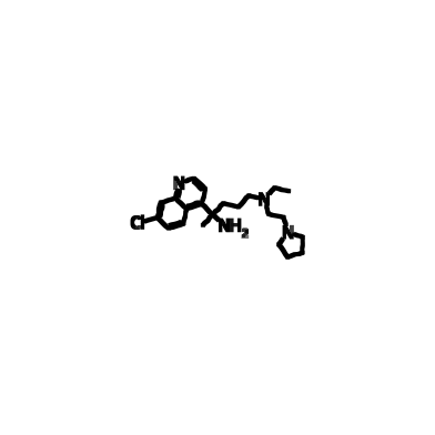 CCN(CCCC(C)(N)c1ccnc2cc(Cl)ccc12)CCN1CCCC1